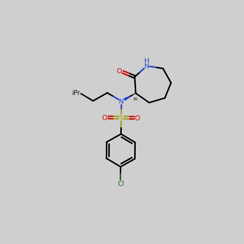 CC(C)CCN([C@@H]1CCCCNC1=O)S(=O)(=O)c1ccc(Cl)cc1